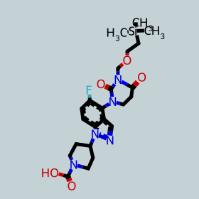 C[Si](C)(C)CCOCN1C(=O)CCN(c2c(F)ccc3c2cnn3C2CCN(C(=O)O)CC2)C1=O